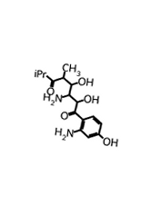 CC(C)C(=O)C(C)C(O)C(N)C(O)C(=O)c1ccc(O)cc1N